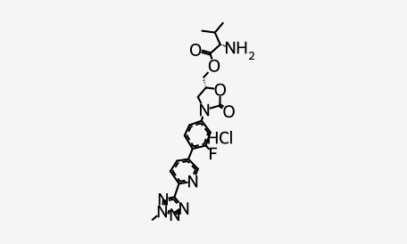 CC(C)[C@H](N)C(=O)OC[C@H]1CN(c2ccc(-c3ccc(-c4nnn(C)n4)nc3)c(F)c2)C(=O)O1.Cl